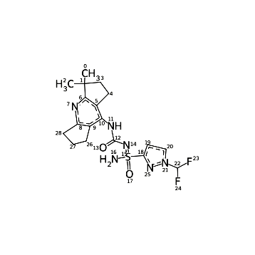 CC1(C)CCc2c1nc1c(c2NC(=O)N=S(N)(=O)c2ccn(C(F)F)n2)CCC1